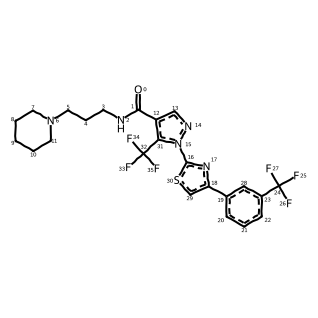 O=C(NCCCN1CCCCC1)c1cnn(-c2nc(-c3cccc(C(F)(F)F)c3)cs2)c1C(F)(F)F